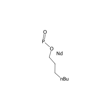 CCCCCCCOP=O.[Nd]